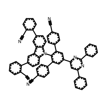 N#Cc1ccc(-c2cc(-c3cc(-c4ccccc4)nc(-c4ccccc4)n3)cc(-c3ccc(C#N)cc3)c2-n2c3ccc(-c4ccccc4C#N)cc3c3cc(-c4ccccc4C#N)ccc32)cc1